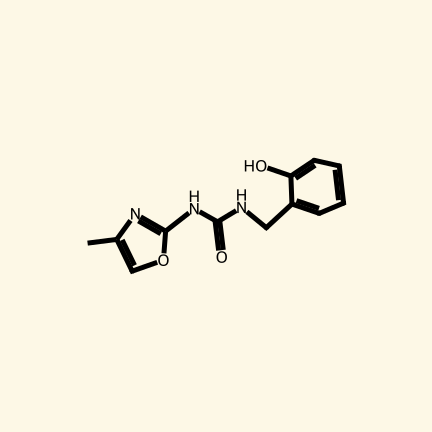 Cc1coc(NC(=O)NCc2ccccc2O)n1